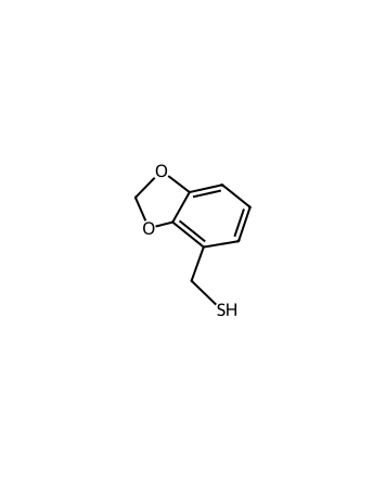 SCc1cccc2c1OCO2